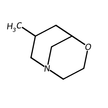 CC1CC2CN(CCO2)C1